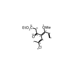 C=C/C(OC)=C(\C=C(/C)Cl)C(=O)CC(=O)OCC